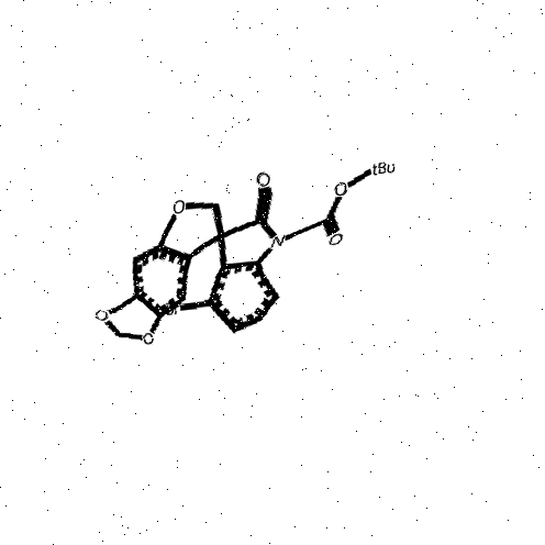 CC(C)(C)OC(=O)N1C(=O)C2(COc3cc4c(cc32)OCO4)c2c(Br)cccc21